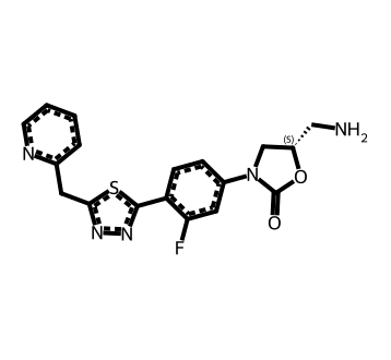 NC[C@H]1CN(c2ccc(-c3nnc(Cc4ccccn4)s3)c(F)c2)C(=O)O1